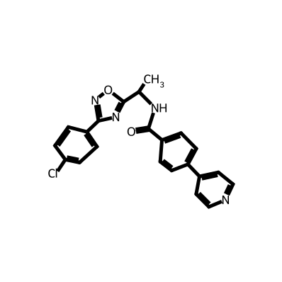 CC(NC(=O)c1ccc(-c2ccncc2)cc1)c1nc(-c2ccc(Cl)cc2)no1